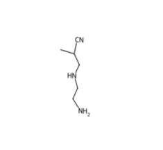 CC(C#N)CNCCN